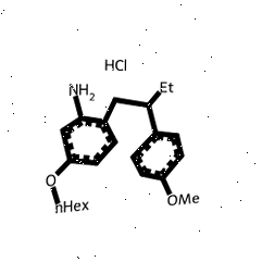 CCCCCCOc1ccc(CC(CC)c2ccc(OC)cc2)c(N)c1.Cl